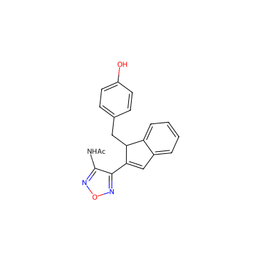 CC(=O)Nc1nonc1C1=Cc2ccccc2C1Cc1ccc(O)cc1